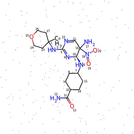 CC1(NC2=N[C@H](NC3CCC(C(N)=O)CC3)C(N)([N+](=O)[O-])C=N2)CCOCC1